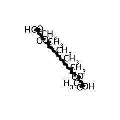 C/C(=C\CC/C(C)=C/COC(=O)/C(C)=C/C(=O)O)CC/C=C(\C)CC/C=C(\C)COC(=O)/C(C)=C/C(=O)O